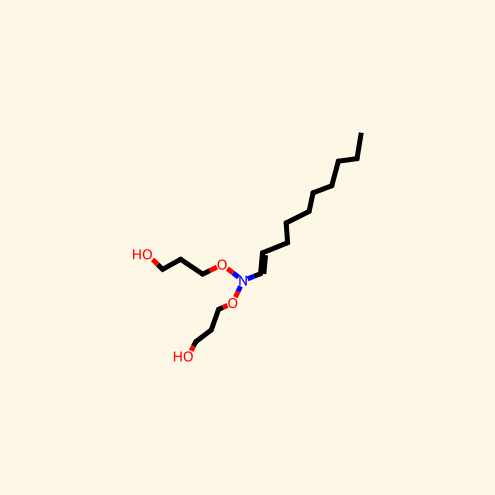 CCCCCCCCC=CN(OCCCO)OCCCO